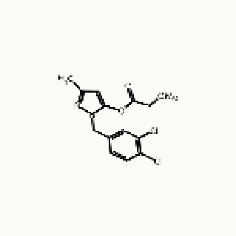 COCC(=O)Oc1cc(C)nn1Cc1ccc(Cl)c(Cl)c1